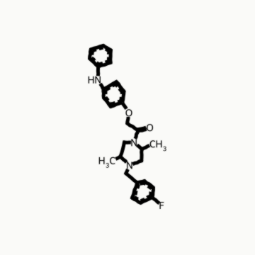 CC1CN(C(=O)COc2ccc(Nc3ccccc3)cc2)C(C)CN1Cc1ccc(F)cc1